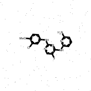 COc1ccc(Nc2ncc(F)c(Nc3cccc(N)n3)n2)cc1Cl